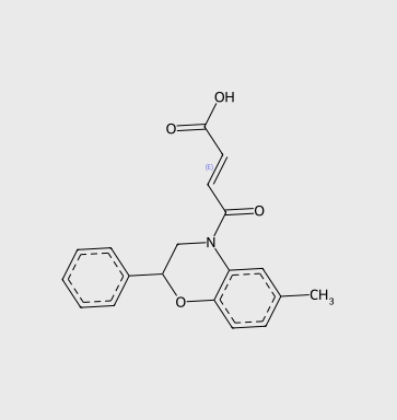 Cc1ccc2c(c1)N(C(=O)/C=C/C(=O)O)CC(c1ccccc1)O2